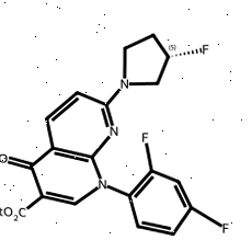 CCOC(=O)c1cn(-c2ccc(F)cc2F)c2nc(N3CC[C@H](F)C3)ccc2c1=O